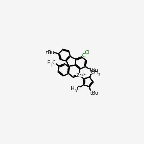 CC1=[C](/[Zr+2](=[CH]/c2ccc(C(F)(F)F)cc2)[c]2c(C(C)(C)C)ccc3c2Cc2cc(C(C)(C)C)ccc2-3)C(C)C=C1C(C)(C)C.[Cl-].[Cl-]